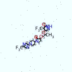 CC(CO[C@@H]1CCN(C2CCN(c3cnc(C(F)(F)F)cn3)CC2)C1=O)Oc1cn[nH]c(=O)c1C(F)(F)F